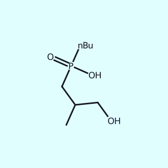 CCCCP(=O)(O)CC(C)CO